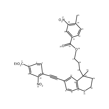 CCOC(=O)c1ccc(C#Cc2ccc3c(c2)C(C)(CCCOC(=O)c2ccc(C)c([N+](=O)[O-])c2)CCS3)c([N+](=O)[O-])c1